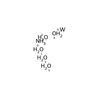 N.O.O.O.O.O.[W]